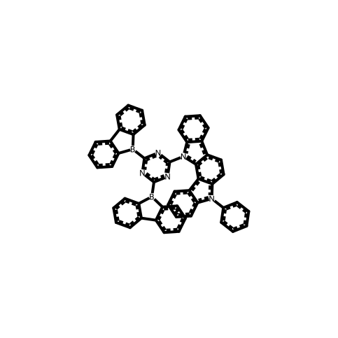 c1ccc(-n2c3ccccc3c3c2ccc2c4ccccc4n(-c4nc(B5c6ccccc6-c6ccccc65)nc(B5c6ccccc6-c6ccccc65)n4)c23)cc1